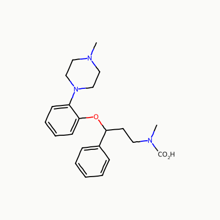 CN1CCN(c2ccccc2OC(CCN(C)C(=O)O)c2ccccc2)CC1